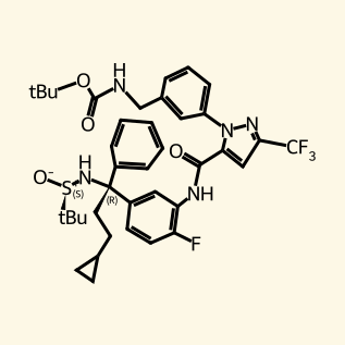 CC(C)(C)OC(=O)NCc1cccc(-n2nc(C(F)(F)F)cc2C(=O)Nc2cc([C@](CCC3CC3)(N[S@+]([O-])C(C)(C)C)c3ccccc3)ccc2F)c1